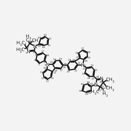 CC1(C)N=C(c2ccc(-n3c4ccccc4c4cc(-c5ccc6c(c5)c5ccccc5n6-c5ccc(C6=NC(C)(C)C(C)(C)N6c6ccccc6)cc5)ccc43)cc2)N(c2ccccc2)C1(C)C